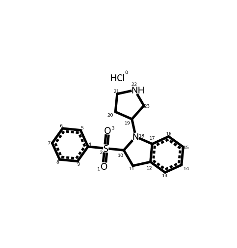 Cl.O=S(=O)(c1ccccc1)C1Cc2ccccc2N1C1CCNC1